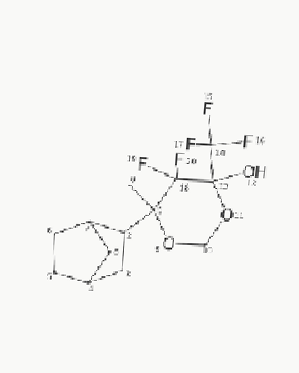 CC1(C2CC3CCC2C3)OCOC(O)(C(F)(F)F)C1(F)F